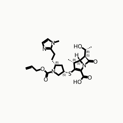 C=CCOC(=O)N1C[C@@H](SC2=C(C(=O)O)N3C(=O)[C@H]([C@@H](C)O)[C@H]3[C@H]2C)C[C@H]1CCc1nccn1C